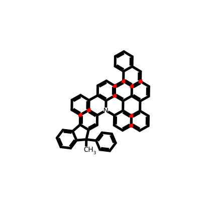 CC1(c2ccccc2)c2ccccc2-c2ccc(N(c3cc(-c4cccc5ccccc45)ccc3-c3ccccc3)c3ccccc3-c3cccc4cccc(-c5ccccc5)c34)cc21